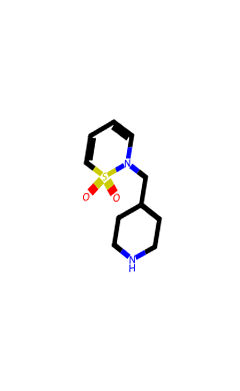 O=S1(=O)C=CC=CN1CC1CCNCC1